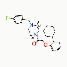 C[C@@H]1CN(Cc2ccc(F)cc2)[C@@H](C)CN1C(=O)COc1ccccc1C1CCCCC1